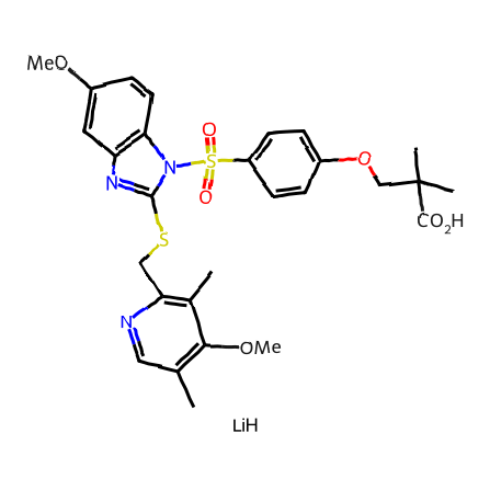 COc1ccc2c(c1)nc(SCc1ncc(C)c(OC)c1C)n2S(=O)(=O)c1ccc(OCC(C)(C)C(=O)O)cc1.[LiH]